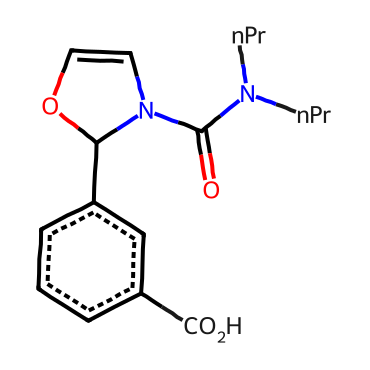 CCCN(CCC)C(=O)N1C=COC1c1cccc(C(=O)O)c1